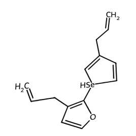 C=CCC1=C[SeH](c2occc2CC=C)C=C1